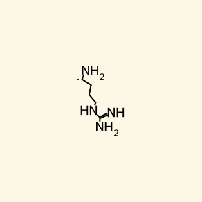 N=C(N)NCCC[CH]N